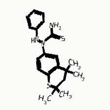 CC1(C)CC(C)(C)c2cc(N(Nc3ccccc3)C(N)=S)ccc2S1